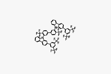 FC(F)(F)c1cc(-c2ccc3c4ccccc4n(-c4cc(-c5ccc(C(F)(F)F)c(-n6c7ccccc7c7ccc(-c8cc(C(F)(F)F)cc(C(F)(F)F)c8)cc76)c5)ccc4C(F)(F)F)c3c2)cc(C(F)(F)F)c1